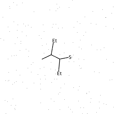 CCC(C)C([S])CC